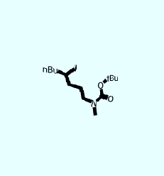 CCCCC(I)CCCN(C)C(=O)OC(C)(C)C